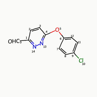 O=Cc1ccc(Oc2ccc(Cl)cc2)nn1